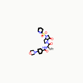 CCCC(NC(=O)c1ccc(N2CCOCC2)cc1)C(=O)N1CCC2C1C(=O)CN2S(=O)(=O)c1ccccn1